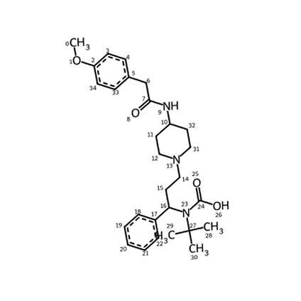 COc1ccc(CC(=O)NC2CCN(CCC(c3ccccc3)N(C(=O)O)C(C)(C)C)CC2)cc1